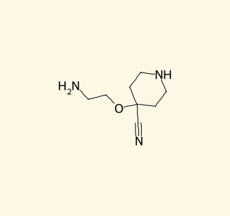 N#CC1(OCCN)CCNCC1